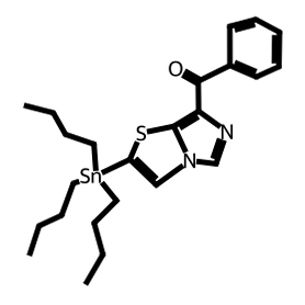 CCC[CH2][Sn]([CH2]CCC)([CH2]CCC)[c]1cn2cnc(C(=O)c3ccccc3)c2s1